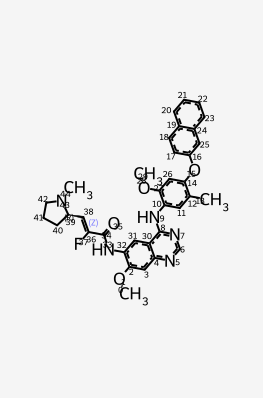 COc1cc2ncnc(Nc3cc(C)c(Oc4ccc5ccccc5c4)cc3OC)c2cc1NC(=O)/C(F)=C/[C@H]1CCCN1C